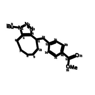 CCC(C)n1nnc2c1CCCCCC2Cc1ccc(C(=O)OC)cc1